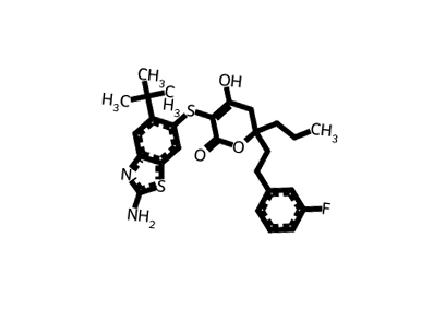 CCCC1(CCc2cccc(F)c2)CC(O)=C(Sc2cc3sc(N)nc3cc2C(C)(C)C)C(=O)O1